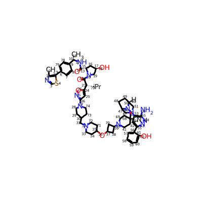 Cc1ncsc1-c1ccc([C@H](C)NC(=O)[C@@H]2C[C@@H](O)CN2C(=O)[C@@H](c2cc(N3CCC(CN4CCC(OC5CC(N6CCC(C#N)(CN7C8CC[C@@H]7CN(c7cc(-c9ccccc9O)nnc7N)C8)CC6)C5)CC4)CC3)no2)C(C)C)cc1